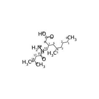 CCCCC(C)CC(CC(=O)O)CN(N)C(=O)CC(C)C